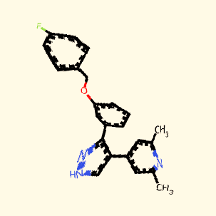 Cc1cc(-c2c[nH]nc2-c2cccc(OCc3ccc(F)cc3)c2)cc(C)n1